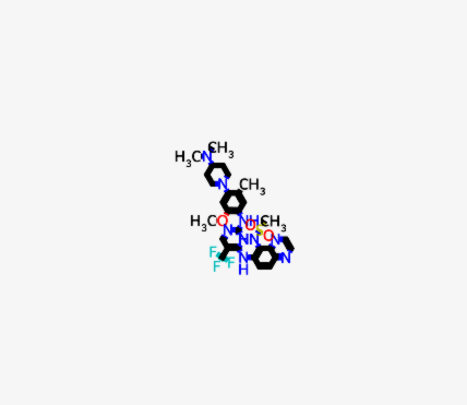 COc1cc(N2CCC(N(C)C)CC2)c(C)cc1Nc1ncc(C(F)(F)F)c(Nc2ccc3nccnc3c2NS(C)(=O)=O)n1